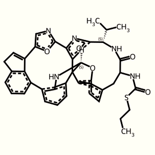 CCCSC(=O)NC1Cc2ccc3c(c2)C24c5cccc(c5N[C@H]2O3)-c2cccc3c2C(=CC3)c2cnc(o2)-c2nc(oc24)[C@H](C(C)C)NC1=O